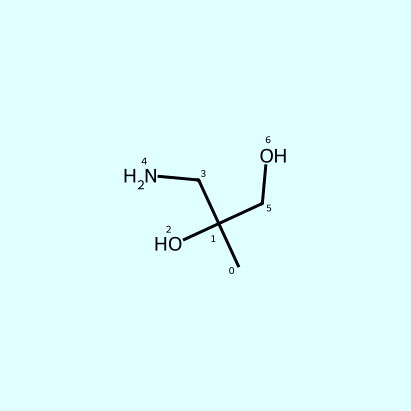 CC(O)(CN)CO